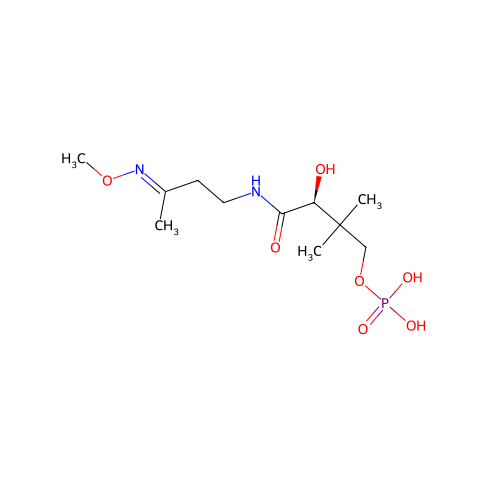 CO/N=C(\C)CCNC(=O)[C@@H](O)C(C)(C)COP(=O)(O)O